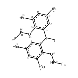 CC(c1cc(C(C)(C)C)cc(C(C)(C)C)c1OPF)c1cc(C(C)(C)C)cc(C(C)(C)C)c1OPF